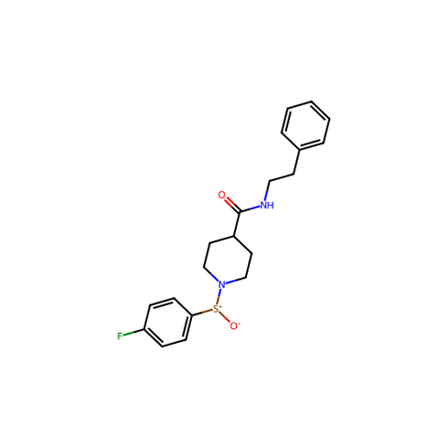 O=C(NCCc1ccccc1)C1CCN([S+]([O-])c2ccc(F)cc2)CC1